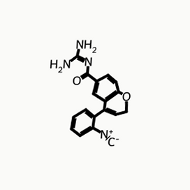 [C-]#[N+]c1ccccc1C1=CCOc2ccc(C(=O)N=C(N)N)cc21